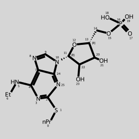 CCCSc1nc(NCC)c2ncn([C@@H]3O[C@H](COP(=O)(O)O)C(O)C3O)c2n1